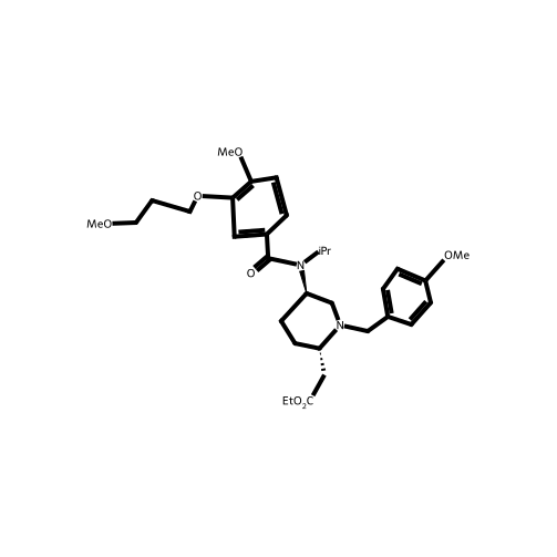 CCOC(=O)C[C@@H]1CC[C@@H](N(C(=O)c2ccc(OC)c(OCCCOC)c2)C(C)C)CN1Cc1ccc(OC)cc1